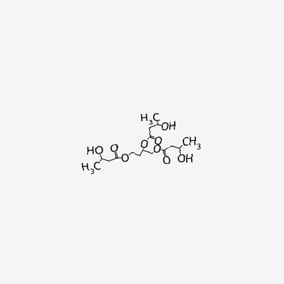 CC(O)CC(=O)OCCC(COC(=O)CC(C)O)OC(=O)CC(C)O